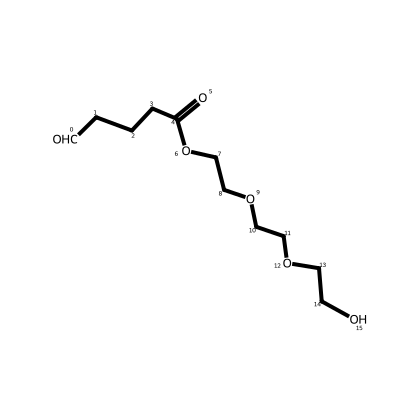 O=CCCCC(=O)OCCOCCOCCO